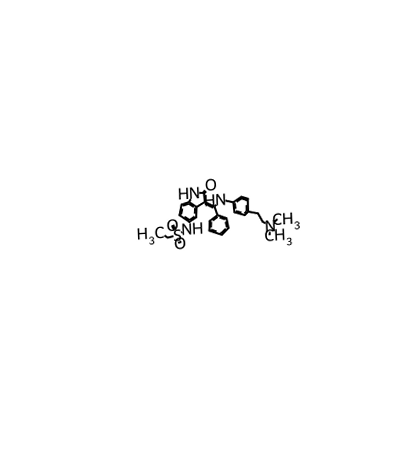 CCS(=O)(=O)Nc1ccc2c(c1)/C(=C(/Nc1ccc(CCN(C)C)cc1)c1ccccc1)C(=O)N2